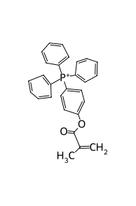 C=C(C)C(=O)Oc1ccc([P+](c2ccccc2)(c2ccccc2)c2ccccc2)cc1